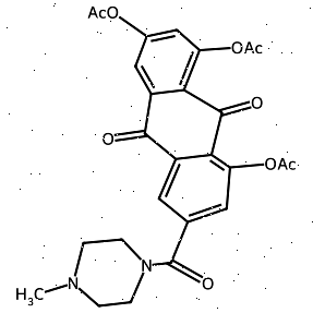 CC(=O)Oc1cc(OC(C)=O)c2c(c1)C(=O)c1cc(C(=O)N3CCN(C)CC3)cc(OC(C)=O)c1C2=O